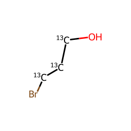 O[13CH2][13CH2][13CH2]Br